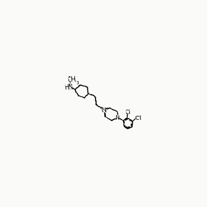 CNC1CCC(CCN2CCN(c3cccc(Cl)c3Cl)CC2)CC1